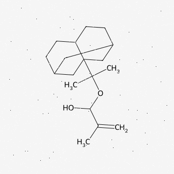 C=C(C)C(O)OC(C)(C)C12CC3CCC1CCC(C3)C2